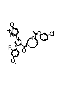 COc1ccc([C@@H]2CN(c3ccc(=O)n(C)n3)C[C@H]2C(=O)N2CCC[C@@H](C3C=CC(Cl)=CC3)N(C(C)=O)CC2)c(F)c1